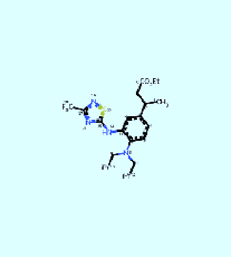 CCOC(=O)CC(C)c1ccc(N(CC(C)C)CC(C)C)c(Nc2nc(C(F)(F)F)ns2)c1